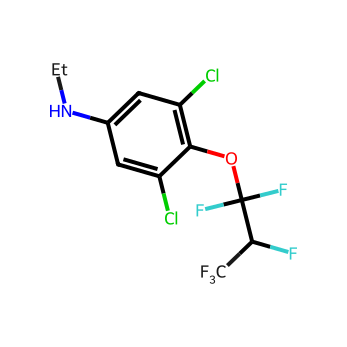 CCNc1cc(Cl)c(OC(F)(F)C(F)C(F)(F)F)c(Cl)c1